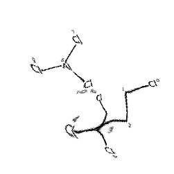 ClCCC(Cl)(Cl)Cl.[Cl][Al]([Cl])[Cl]